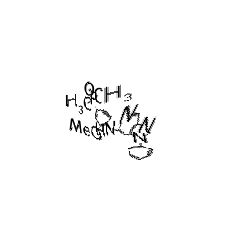 COc1cc(P(C)(C)=O)ccc1Nc1cc2c(cn1)ncn2-c1ccccc1